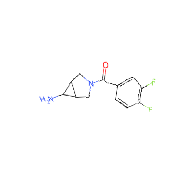 NC1C2CN(C(=O)c3ccc(F)c(F)c3)CC12